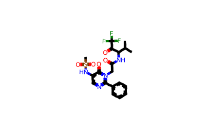 CC(C)C(NC(=O)Cn1c(-c2ccccc2)ncc(NS(C)(=O)=O)c1=O)C(=O)C(F)(F)F